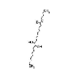 CCCCCCCCC(O)C(O)CCCCCCCC(=O)OCCCC